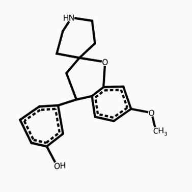 COc1ccc2c(c1)OC1(CCNCC1)CC2c1cccc(O)c1